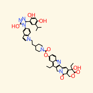 CCc1c2c(nc3ccc(OC(=O)N4CCC(CCn5ccc6cc(-n7c(O)nnc7-c7cc(C(C)C)c(O)cc7O)ccc65)CC4)cc13)-c1cc3c(c(=O)n1C2)COC(=O)C3(O)CC